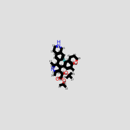 Cc1cc(-c2c(-c3ccc4c(c3)CCNC4)c(C)nc(C)c2C(OC(C)(C)C)C(=O)OC(C)C)c(F)c2c1OCCC2